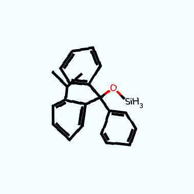 CC(C)c1ccccc1C(O[SiH3])(c1ccccc1)c1ccccc1